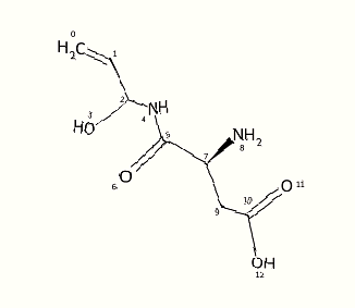 C=CC(O)NC(=O)[C@@H](N)CC(=O)O